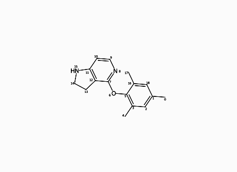 Cc1cc(C)c(Oc2nccc3c2CCN3)c(C)c1